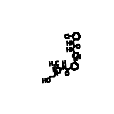 Cc1nn(CCO)cc1NC(=O)c1cccc(-n2cc(NC(=O)Nc3ccccc3Cl)cn2)c1